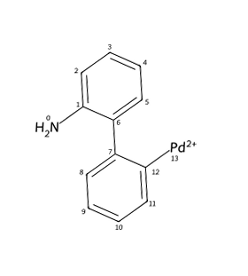 Nc1ccccc1-c1cccc[c]1[Pd+2]